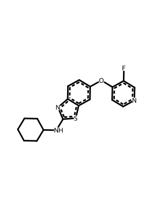 Fc1cnccc1Oc1ccc2nc(NC3CCCCC3)sc2c1